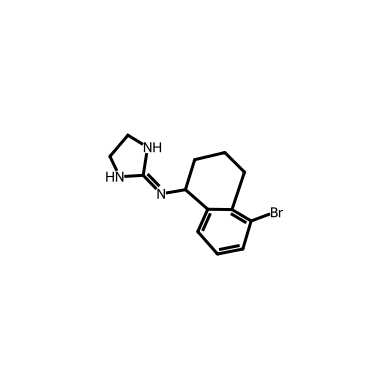 Brc1cccc2c1CCCC2N=C1NCCN1